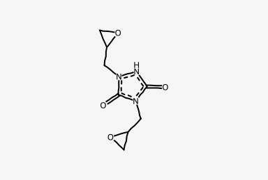 O=c1[nH]n(CC2CO2)c(=O)n1CC1CO1